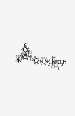 CC(CCN1CCN(c2ccc(OCC3COC(Cn4ccnc4)(c4ccc(Cl)cc4Cl)O3)cc2)CC1)NC(=O)O